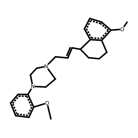 COc1ccccc1N1CCN(CC=CC2CCCc3c(OC)cccc32)CC1